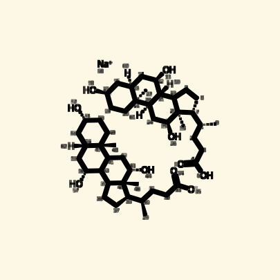 C[C@H](CCC(=O)O)[C@H]1CCC2[C@H]3[C@H](O)C[C@@H]4C[C@H](O)CC[C@]4(C)[C@@H]3C[C@H](O)[C@@]21C.C[C@H](CCC(=O)[O-])[C@H]1CCC2C3C(C[C@H](O)[C@@]21C)[C@@]1(C)CC[C@@H](O)C[C@H]1C[C@H]3O.[Na+]